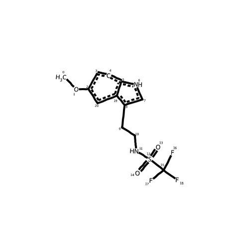 COc1ccc2[nH]cc(CCNS(=O)(=O)C(F)(F)F)c2c1